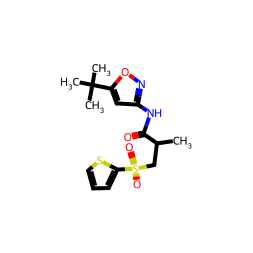 CC(CS(=O)(=O)c1cccs1)C(=O)Nc1cc(C(C)(C)C)on1